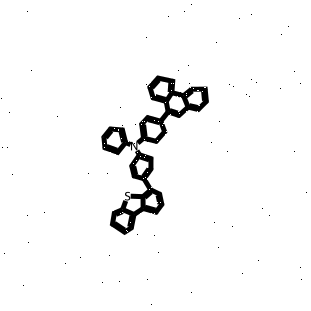 C1=C(c2cc3ccccc3c3ccccc23)CCC(N(c2ccccc2)c2ccc(-c3cccc4c3sc3ccccc34)cc2)=C1